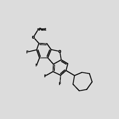 CCCCCOc1cc2oc3cc(C4CCCCCC4)c(F)c(F)c3c2c(F)c1F